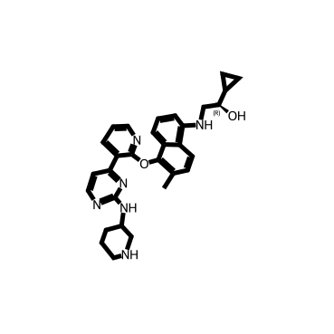 Cc1ccc2c(NC[C@H](O)C3CC3)cccc2c1Oc1ncccc1-c1ccnc(NC2CCCNC2)n1